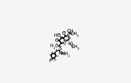 C=C(S/C(Cc1ccc(F)cc1)=N\N)c1cn2c(c(O)c1=O)C(=O)N(C(C)C)C[C@@H]2COC